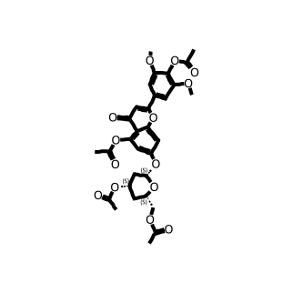 COc1cc(-c2cc(=O)c3c(OC(C)=O)cc(O[C@H]4C[C@@H](OC(C)=O)C[C@@H](COC(C)=O)O4)cc3o2)cc(OC)c1OC(C)=O